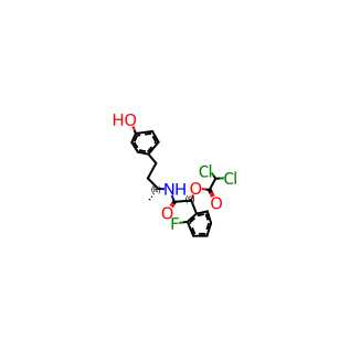 C[C@H](CCc1ccc(O)cc1)NC(=O)[C@@H](OC(=O)C(Cl)Cl)c1ccccc1F